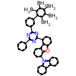 Bc1c(B)c(B)c(-c2cccc(-c3nc(-c4ccccc4)nc(-c4cccc5oc6c(-n7c8ccccc8c8ccccc87)cccc6c45)n3)c2)c(B)c1B